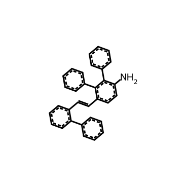 Nc1ccc(C=Cc2ccccc2-c2ccccc2)c(-c2ccccc2)c1-c1ccccc1